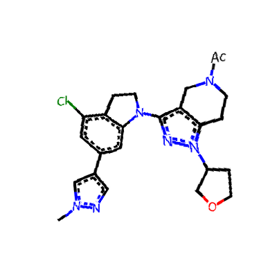 CC(=O)N1CCc2c(c(N3CCc4c(Cl)cc(-c5cnn(C)c5)cc43)nn2C2CCOC2)C1